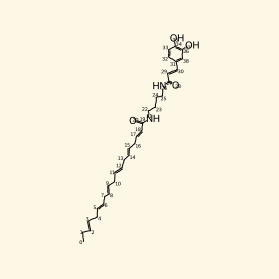 CCC=CCC=CCC=CCC=CCC=CCC=CC(=O)NCCCCNC(=O)C=Cc1ccc(O)c(O)c1